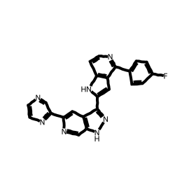 Fc1ccc(-c2nccc3[nH]c(-c4n[nH]c5cnc(-c6cnccn6)cc45)cc23)cc1